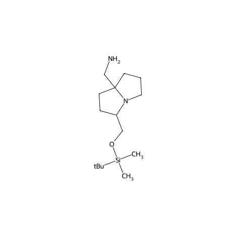 CC(C)(C)[Si](C)(C)OCC1CCC2(CN)CCCN12